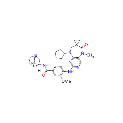 COc1cc(C(=O)N[C@@H]2CN3CCC2CC3)ccc1Nc1ncc2c(n1)N(C1CCCC1)CC1(CC1)C(=O)N2C